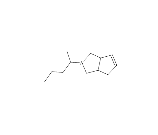 CCCC(C)N1CC2C=CCC2C1